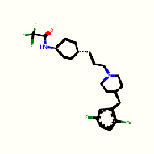 O=C(N[C@H]1CC[C@H](CCCN2CCC(Cc3cc(F)ccc3Br)CC2)CC1)C(F)(F)F